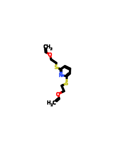 C=COCCSc1cccc(SCCOC=C)n1